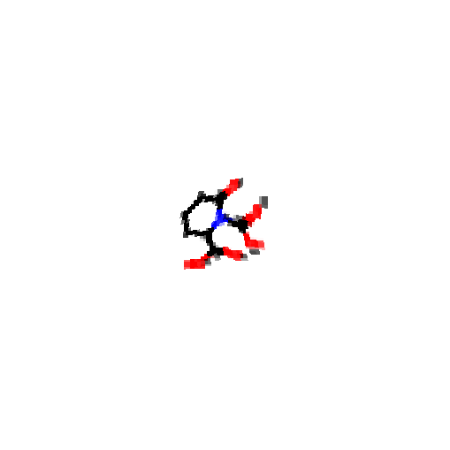 O=C(O)C1CCCC(=O)N1C(=O)O